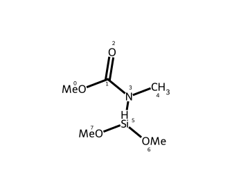 COC(=O)N(C)[SiH](OC)OC